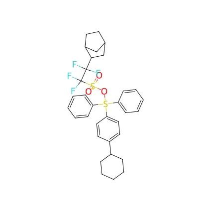 O=S(=O)(OS(c1ccccc1)(c1ccccc1)c1ccc(C2CCCCC2)cc1)C(F)(F)C(F)(F)C1CC2CCC1C2